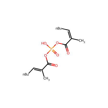 CCCCC=C(C)C(=O)OP(=O)(O)OC(=O)C(C)=CCCCC